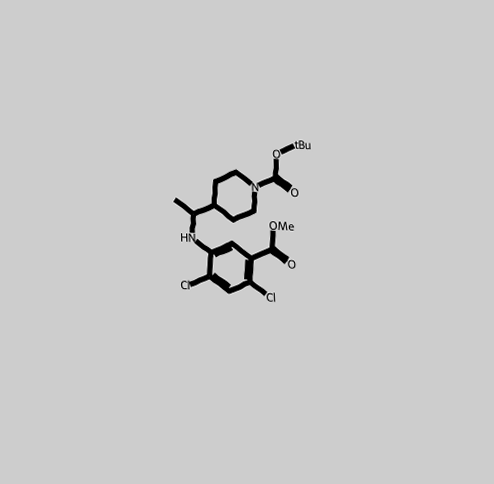 COC(=O)c1cc(NC(C)C2CCN(C(=O)OC(C)(C)C)CC2)c(Cl)cc1Cl